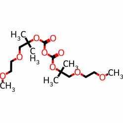 COCCOCC(C)(C)OC(=O)OC(=O)OC(C)(C)COCCOC